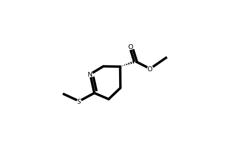 COC(=O)[C@@H]1CCC(SC)=NC1